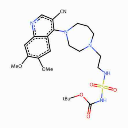 COc1cc2ncc(C#N)c(N3CCCN(CCNS(=O)(=O)NC(=O)OC(C)(C)C)CC3)c2cc1OC